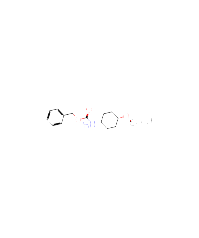 O=C(N[C@H]1CC[C@H](OC(=O)O)CC1)OCc1ccccc1